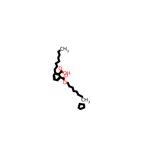 C1CCCC1.CCCCCCCCOC(=O)c1cccc(CCCCCCCC)c1C(=O)O